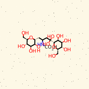 O=C(O)NC(C[C@H]1O[C@H](CO)[C@@H](O)[C@H](O)[C@@H]1O)CC(O)(O)[C@H]1O[C@H](CO)[C@@H](O)[C@H](O)[C@@H]1O